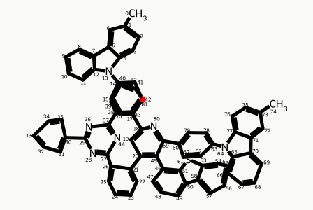 Cc1ccc2c(c1)c1ccccc1n2-c1ccc(-c2cc(-c3ccccc3-c3nc(-c4ccccc4)nc(-c4ccccc4)n3)c(-c3cccc4c3sc3ccccc34)c(-c3ccc(-n4c5ccccc5c5cc(C)ccc54)cc3)n2)cc1